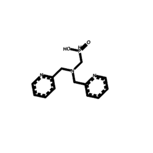 O=[PH](O)CN(Cc1ccccn1)Cc1ccccn1